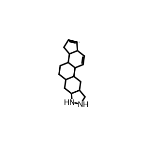 [C]1=CCC2C1C=CC1C3CC4CNNC4CC3CCC12